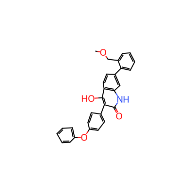 COCc1ccccc1-c1ccc2c(O)c(-c3ccc(Oc4ccccc4)cc3)c(=O)[nH]c2c1